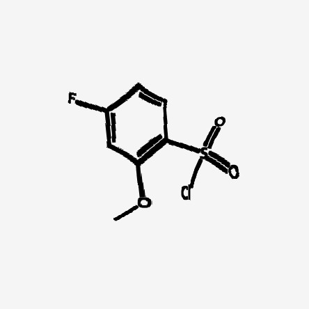 COc1cc(F)ccc1S(=O)(=O)Cl